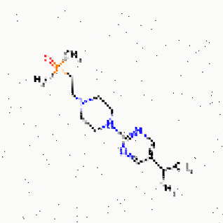 CC(C)c1cnc(N2CCN(CCP(C)(C)=O)CC2)nc1